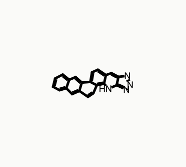 c1ccc2cc3c(ccc4c3ccc3cc5nnnc-5[nH]c34)cc2c1